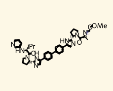 COO/C=N/[C@@H](C)C(=O)N1CCC[C@H]1c1ncc(-c2ccc(-c3ccc(-c4cnc([C@@H]5CCCN5C(=O)[C@@H](Nc5cccnc5)C(C)C)[nH]4)cc3)cc2)[nH]1